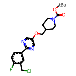 CC(C)(C)OC(=O)N1CCC(COc2cnc(-c3ccc(F)c(CCl)c3)nc2)CC1